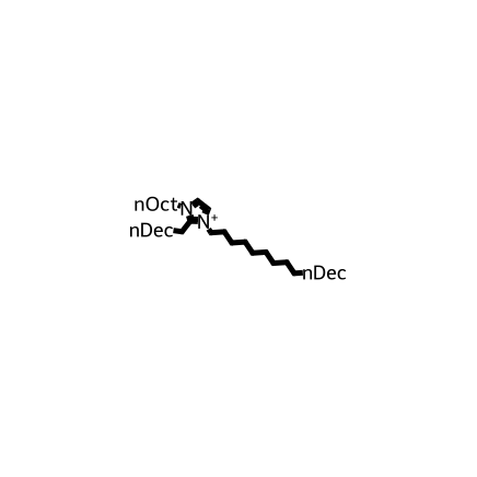 CCCCCCCCCCCCCCCCCCC[n+]1ccn(CCCCCCCC)c1CCCCCCCCCCC